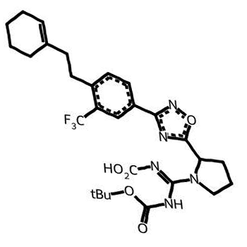 CC(C)(C)OC(=O)NC(=NC(=O)O)N1CCCC1c1nc(-c2ccc(CCC3=CCCCC3)c(C(F)(F)F)c2)no1